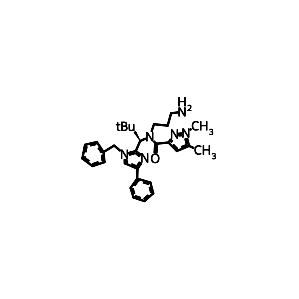 Cc1cc(C(=O)N(CCCN)[C@@H](c2nc(-c3ccccc3)cn2Cc2ccccc2)C(C)(C)C)nn1C